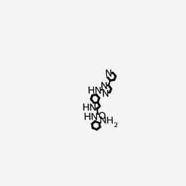 Nc1ccccc1NC(=O)c1cc2cc(Nc3nccc(-c4cccnc4)n3)ccc2[nH]1